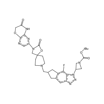 CC(C)(C)OC(=O)N1CC(n2nnc3cc4c(c(F)c32)CC(CN2CCC3(CC2)CN(c2cnc5c(n2)NC(=O)CO5)C(=O)O3)C4)C1